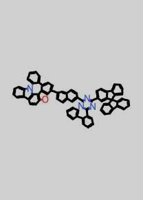 c1ccc(-c2ccccc2-c2nc(-c3ccc4c(c3)C3(c5ccccc5-c5ccccc53)c3ccccc3-4)nc(-c3ccc4cc(-c5ccc6c7ccccc7n7c8ccccc8c8ccc9oc5c6c9c87)ccc4c3)n2)cc1